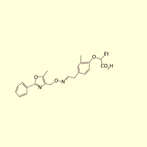 CCC(Oc1ccc(CC=NOCc2nc(-c3ccccc3)oc2C)cc1C)C(=O)O